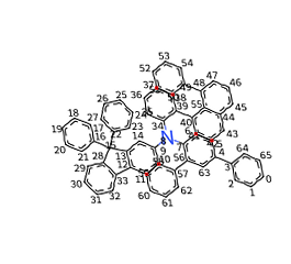 c1ccc(-c2ccc(N(c3ccc4c(c3)C(c3ccccc3)(c3ccccc3)c3ccccc3-4)c3ccccc3-c3cccc4cccc(-c5ccccc5)c34)c(-c3ccccc3)c2)cc1